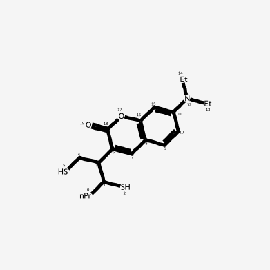 CCCC(S)C(CS)c1cc2ccc(N(CC)CC)cc2oc1=O